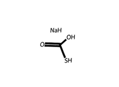 O=C(O)S.[NaH]